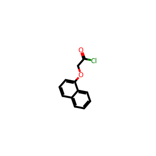 O=C(Cl)COc1cccc2ccccc12